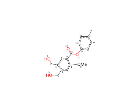 COc1cc(CO)c(CO)cc1C(=O)Oc1ccc(C)cc1